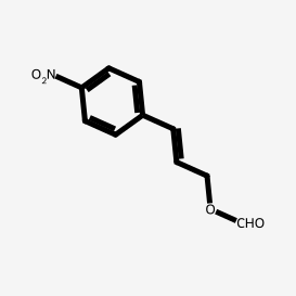 O=COCC=Cc1ccc([N+](=O)[O-])cc1